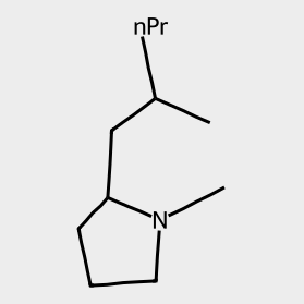 CCCC(C)CC1CCCN1C